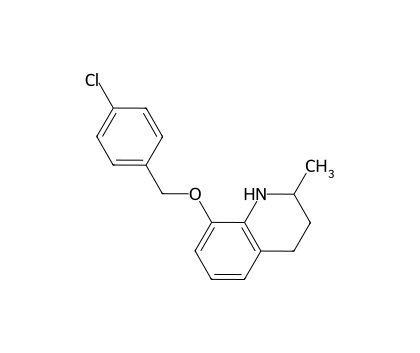 CC1CCc2cccc(OCc3ccc(Cl)cc3)c2N1